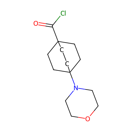 O=C(Cl)C12CCC(N3CCOCC3)(CC1)CC2